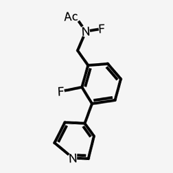 CC(=O)N(F)Cc1cccc(-c2ccncc2)c1F